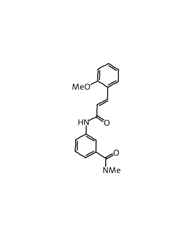 CNC(=O)c1cccc(NC(=O)C=Cc2ccccc2OC)c1